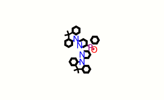 CC1(C)c2ccccc2N(c2ccc(P(=O)(c3ccccc3)c3ccc(N4c5ccccc5C(C)(C)c5ccccc54)nc3)cn2)c2ccccc21